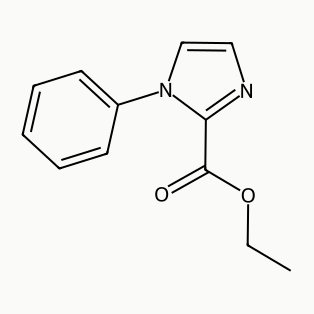 CCOC(=O)c1nccn1-c1ccccc1